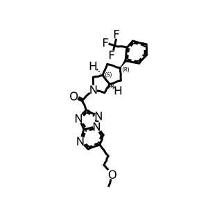 COCCc1cnc2nc(C(=O)N3C[C@H]4C[C@@H](c5ccccc5C(F)(F)F)C[C@H]4C3)nn2c1